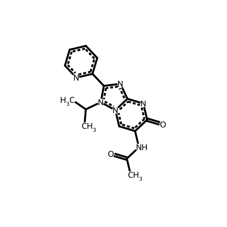 CC(=O)Nc1cn2c(nc(-c3ccccn3)n2C(C)C)nc1=O